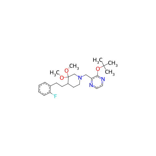 COC1(OC)CN(Cc2nccnc2OC(C)(C)C)CCC1CCc1ccccc1F